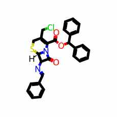 O=C(OC(c1ccccc1)c1ccccc1)C1=C(CCl)CS[C@@H]2C(/N=C/c3ccccc3)C(=O)N12